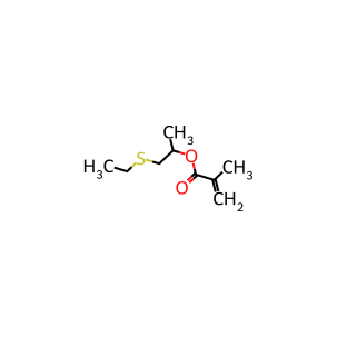 C=C(C)C(=O)OC(C)CSCC